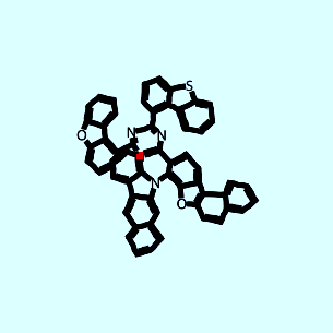 c1ccc2cc3c(cc2c1)c1ccccc1n3-c1c(-c2nc(-c3cccc4oc5ccccc5c34)nc(-c3cccc4sc5ccccc5c34)n2)ccc2c1oc1ccc3ccccc3c12